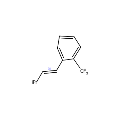 CC(C)/C=C/c1ccccc1C(F)(F)F